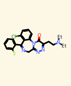 CCN(CC)CCc1nnc2n(c1=O)-c1cccc(Cl)c1C(c1ccccc1F)=NC2